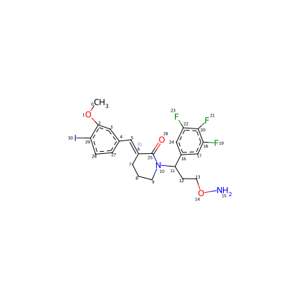 COc1cc(/C=C2\CCCN(C(CCON)c3cc(F)c(F)c(F)c3)C2=O)ccc1I